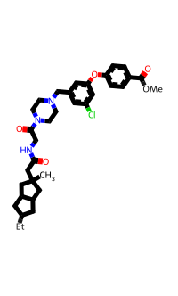 CCC1CC2CC(C)(CC(=O)NCC(=O)N3CCN(Cc4cc(Cl)cc(Oc5ccc(C(=O)OC)cc5)c4)CC3)CC2C1